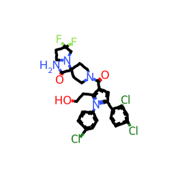 NC(=O)C1(N2CCC(F)(F)C2)CCN(C(=O)c2cc(-c3ccc(Cl)cc3Cl)n(-c3ccc(Cl)cc3)c2CCO)CC1